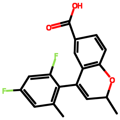 Cc1cc(F)cc(F)c1C1=CC(C)Oc2ccc(C(=O)O)cc21